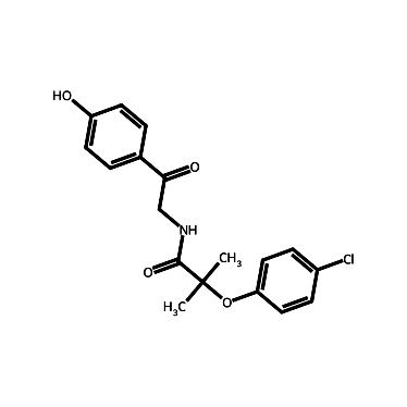 CC(C)(Oc1ccc(Cl)cc1)C(=O)NCC(=O)c1ccc(O)cc1